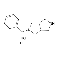 Cl.Cl.c1ccc(CN2CC3CNCC3C2)cc1